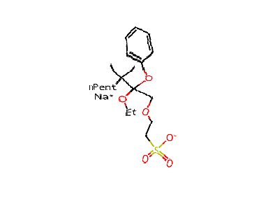 CCCCCC(C)(C)C(COCCS(=O)(=O)[O-])(OCC)Oc1ccccc1.[Na+]